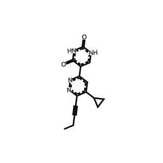 CCC#Cc1nnc(-c2c[nH]c(=O)[nH]c2=O)cc1C1CC1